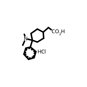 CN(C)C1(c2ccccc2)CCC(CC(=O)O)CC1.Cl